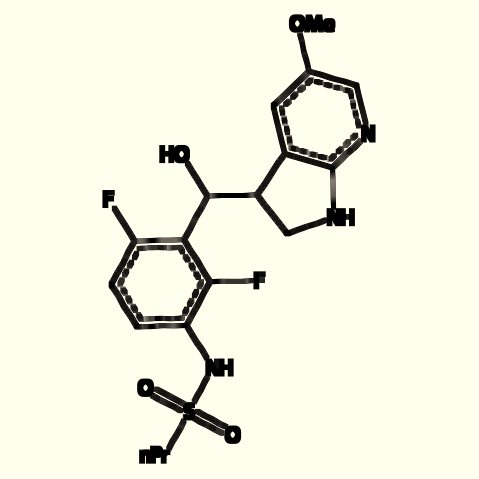 CCCS(=O)(=O)Nc1ccc(F)c(C(O)C2CNc3ncc(OC)cc32)c1F